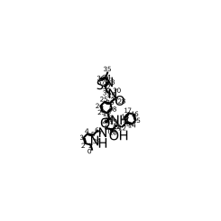 Cc1cccc(CNC[C@@H](O)[C@H](Cc2ccccc2)NC(=O)c2cccc(C(=O)N(C)Cc3nc(C)cs3)c2)n1